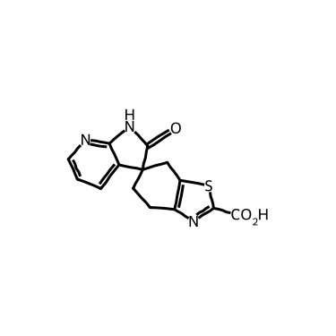 O=C(O)c1nc2c(s1)CC1(CC2)C(=O)Nc2ncccc21